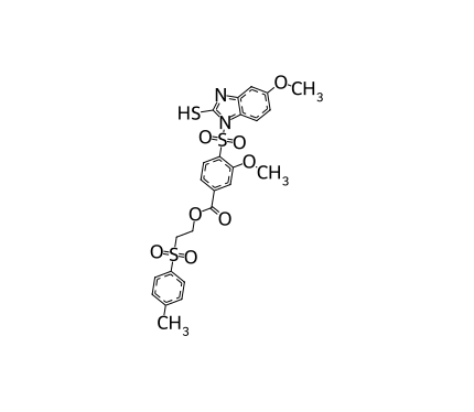 COc1ccc2c(c1)nc(S)n2S(=O)(=O)c1ccc(C(=O)OCCS(=O)(=O)c2ccc(C)cc2)cc1OC